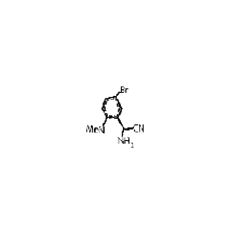 CNc1ccc(Br)cc1C(N)C#N